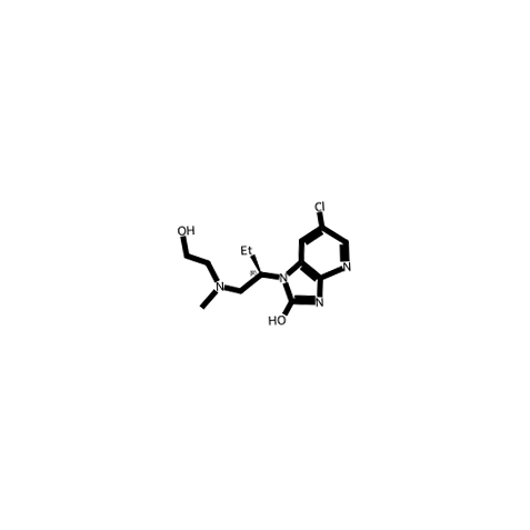 CC[C@H](CN(C)CCO)n1c(O)nc2ncc(Cl)cc21